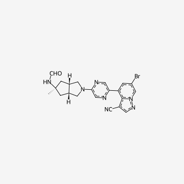 C[C@@]1(NC=O)C[C@H]2CN(c3cnc(-c4cc(Br)cn5ncc(C#N)c45)cn3)C[C@H]2C1